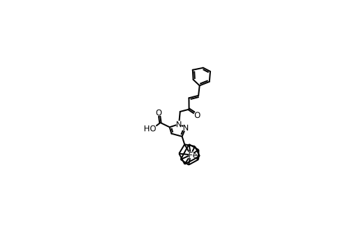 O=C(C=Cc1ccccc1)Cn1nc([C]23[CH]4[CH]5[CH]6[CH]2[Fe]56432789[CH]3[CH]2[CH]7[CH]8[CH]39)cc1C(=O)O